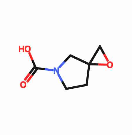 O=C(O)N1CCC2(CO2)C1